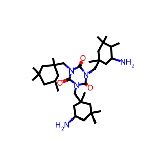 CC1CC(C)(C)CC(C)(Cn2c(=O)n(CC3(C)CC(N)CC(C)(C)C3)c(=O)n(CC3(C)CC(N)C(C)C(C)(C)C3)c2=O)C1